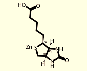 O=C(O)CCCC[C@@H]1SC[C@@H]2NC(=O)N[C@@H]21.[Zn]